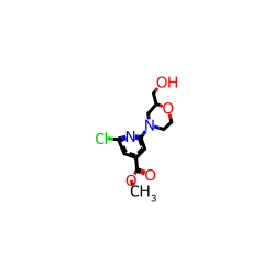 COC(=O)c1cc(Cl)nc(N2CCOC(CO)C2)c1